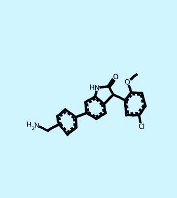 COc1ccc(Cl)cc1C1C(=O)Nc2cc(-c3ccc(CN)cc3)ccc21